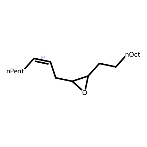 CCCCC/C=C\CC1OC1CCCCCCCCCC